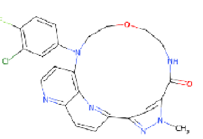 Cn1nc2cc1C(=O)NCCOCCN(c1ccc(F)c(Cl)c1)c1ccnc3ccc-2nc13